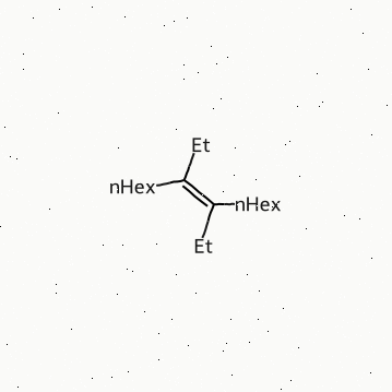 CCCCCC/C(CC)=C(\CC)CCCCCC